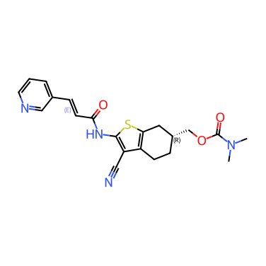 CN(C)C(=O)OC[C@@H]1CCc2c(sc(NC(=O)/C=C/c3cccnc3)c2C#N)C1